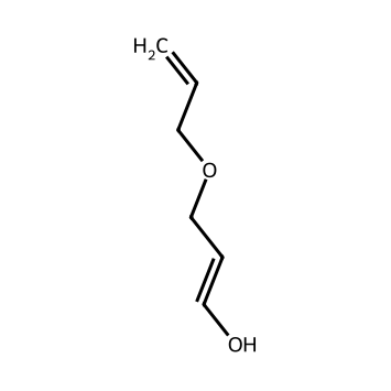 C=CCOCC=CO